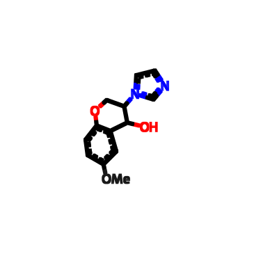 COc1ccc2c(c1)C(O)C(n1ccnc1)CO2